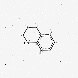 c1cnc2c(n1)CSCN2